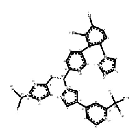 Fc1c(Cl)ccc(-n2cnnn2)c1-c1ccc([C@@H](Cc2cnn(C(F)F)n2)n2cc(-c3ccnc(C(F)(F)F)c3)cn2)nc1